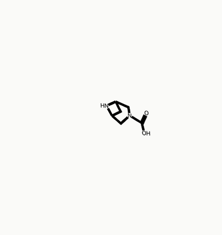 O=C(O)N1CC2CC(C1)N2